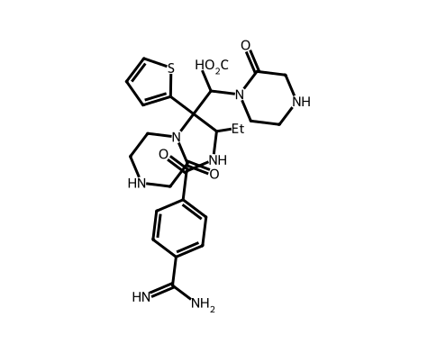 CCC(NC(=O)c1ccc(C(=N)N)cc1)C(c1cccs1)(C(C(=O)O)N1CCNCC1=O)N1CCNCC1=O